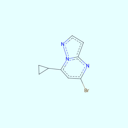 Brc1cc(C2CC2)n2nccc2n1